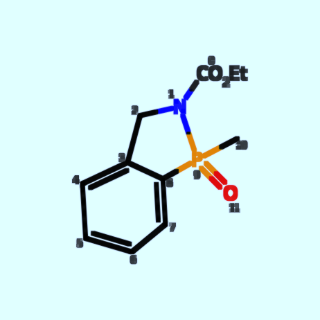 CCOC(=O)N1Cc2ccccc2P1(C)=O